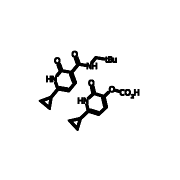 CC(C)(C)CNC(=O)c1ccc(C2CC2)[nH]c1=O.O=C(O)Oc1ccc(C2CC2)[nH]c1=O